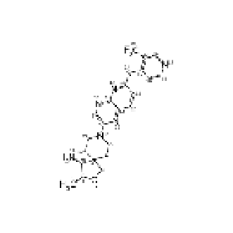 C[C@@H]1OCC2(CCN(c3cnc4nc(Sc5ccncc5C(F)(F)F)ccc4n3)CC2)[C@@H]1N